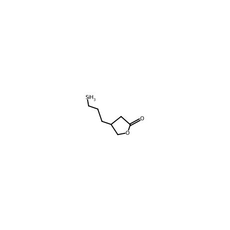 O=C1CC(CCC[SiH3])CO1